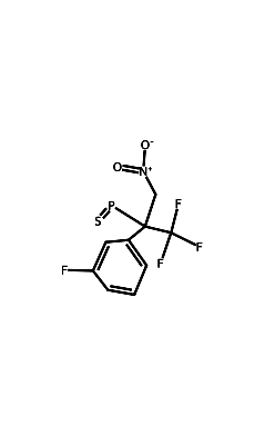 O=[N+]([O-])CC(P=S)(c1cccc(F)c1)C(F)(F)F